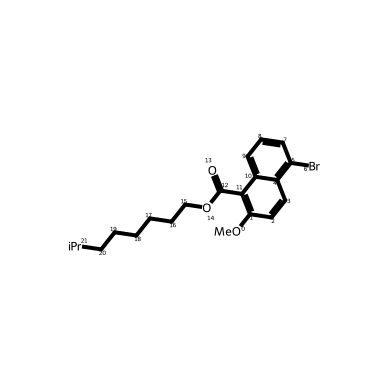 COc1ccc2c(Br)cccc2c1C(=O)OCCCCCCC(C)C